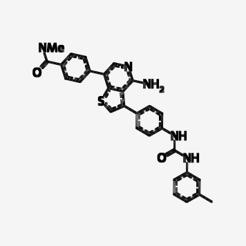 CNC(=O)c1ccc(-c2cnc(N)c3c(-c4ccc(NC(=O)Nc5cccc(C)c5)cc4)csc23)cc1